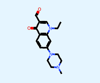 CCn1cc(C=O)c(=O)c2ccc(N3CCN(C)CC3)cc21